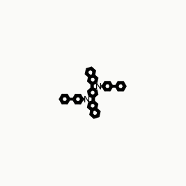 c1ccc(-c2ccc(-n3c4cc5ccccc5cc4c4cc5c(cc43)c3cc4ccccc4cc3n5-c3ccc(-c4ccccc4)cc3)cc2)cc1